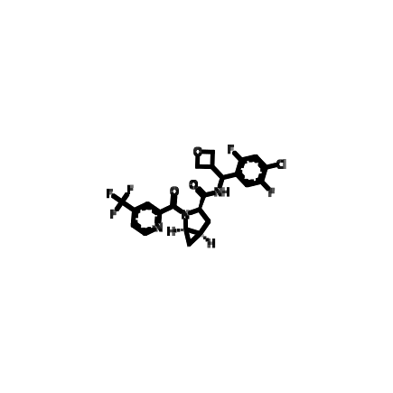 O=C(NC(c1cc(F)c(Cl)cc1F)C1COC1)[C@H]1C[C@H]2C[C@H]2N1C(=O)c1cc(C(F)(F)F)ccn1